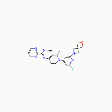 CC1c2cnc(-c3ncccn3)nc2CCN1c1cc(F)nc(N2CC3(COC3)C2)c1